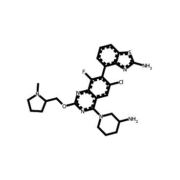 CN1CCCC1COc1nc(N2CCCC(N)C2)c2cc(Cl)c(-c3cccc4sc(N)nc34)c(F)c2n1